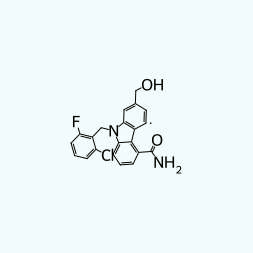 NC(=O)c1cccc2c1c1[c]cc(CO)cc1n2Cc1c(F)cccc1Cl